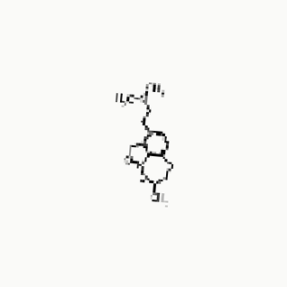 CC1COc2ccc(CCN(C)C)c3c2B(OC3)O1